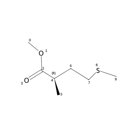 COC(=O)[C@H](C)CCSC